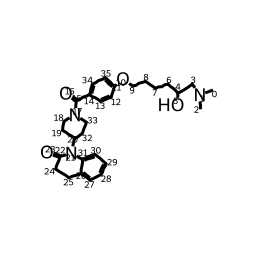 CN(C)CC(O)CCCCOc1ccc(C(=O)N2CCC(N3C(=O)CCc4ccccc43)CC2)cc1